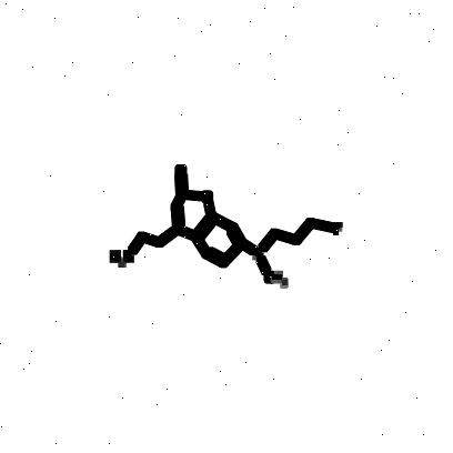 CN(CCCF)c1ccc2c(CCN)cc(=O)oc2c1